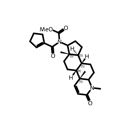 COC(=O)N(C(=O)C1=CCCC1)C1CC[C@H]2[C@@H]3CCC4N(C)C(=O)C=C[C@]4(C)[C@@H]3CC[C@]12C